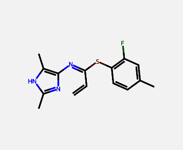 C=C/C(=N\c1nc(C)[nH]c1C)Sc1ccc(C)cc1F